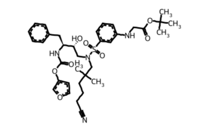 CC(C)(CCCC#N)CN(C[C@@H](O)[C@H](Cc1ccccc1)NC(=O)Oc1ccoc1)S(=O)(=O)c1cccc(NCC(=O)OC(C)(C)C)c1